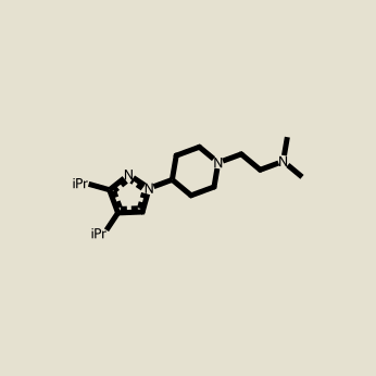 CC(C)c1cn(C2CCN(CCN(C)C)CC2)nc1C(C)C